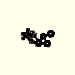 CC1(C)C(=O)NC(=O)N1CCNc1ncc(-c2ccccc2)c(-c2ccc(-c3ccccc3)s2)n1